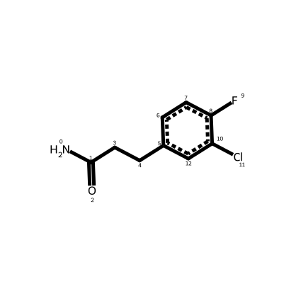 NC(=O)CCc1ccc(F)c(Cl)c1